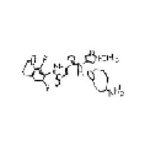 Cn1ncc(NC(=O)c2csc(-c3c(F)cc4c(c3F)OCCC4)n2)c1[C@@H]1CC[C@@H](N)CCO1